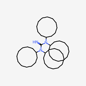 N=C(N(C1CCCCCCCCCCC1)C1CCCCCCCCCCC1)N(C1CCCCCCCCCCC1)C1CCCCCCCCCCC1